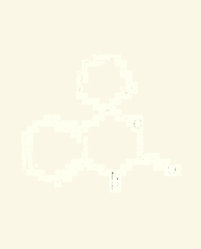 O=C1Nc2ccccc2C2(CCCC2)O1